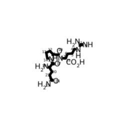 N=C(N)NCCCC(NC(=O)C1CCCN1C(=O)C(N)CCC(N)=O)C(=O)O